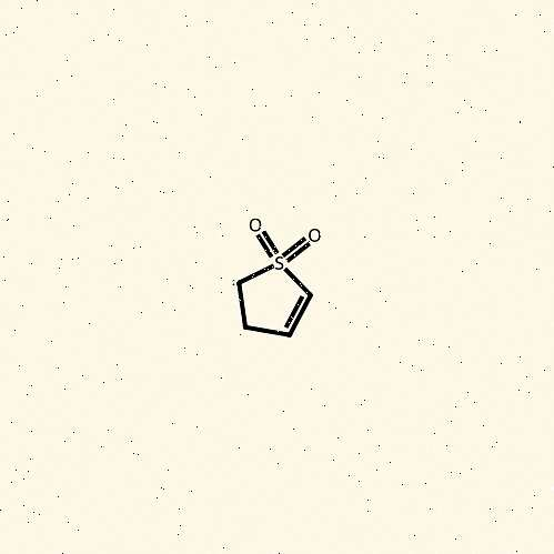 O=S1(=O)[C]CC=C1